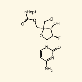 CCCCCCCC(=O)OC[C@@]1(CCl)O[C@@H](n2ccc(N)nc2=O)[C@H](F)[C@@H]1O